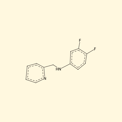 Fc1ccc(NCc2ccccn2)cc1F